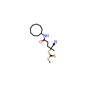 CSC(=S)SC(C)(C#N)CCC(=O)NC1CCCCCCCC1